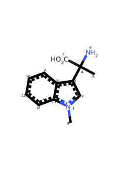 Cn1cc(C(C)(N)C(=O)O)c2ccccc21